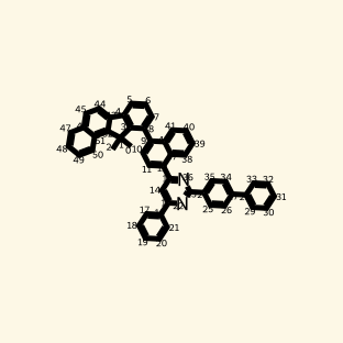 CC1(C)c2c(cccc2-c2ccc(-c3cc(-c4ccccc4)nc(-c4ccc(-c5ccccc5)cc4)n3)c3ccccc23)-c2ccc3ccccc3c21